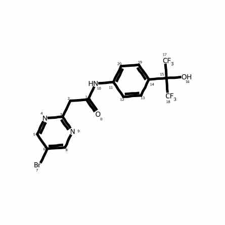 O=C(Cc1ncc(Br)cn1)Nc1ccc(C(O)(C(F)(F)F)C(F)(F)F)cc1